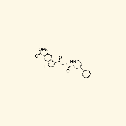 COC(=O)c1ccc2c(C(=O)CCC(=O)C3CC(c4ccccc4)=CCN3)c[nH]c2c1